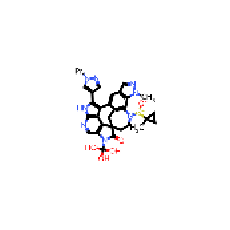 CC(C)n1cc(-c2[nH]c3ncc4c(c3c2-c2ccc3c(cnn3C)c2)C2(CCCN([S+]([O-])C3(C)CC3)CC2)C(=O)N4C(O)(O)O)cn1